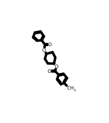 Cc1ccc(C(=O)OC2CCC(OC(=O)c3ccccc3)CC2)cc1